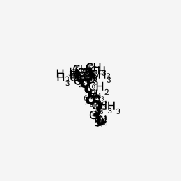 C=C1/C(=C\C=C2/CCC[C@]3(C)[C@@H]([C@H](C)CCC(=O)c4nccs4)CC[C@@H]23)CC(O[Si](C)(C)C(C)(C)C)CC1O[Si](C)(C)C(C)(C)C